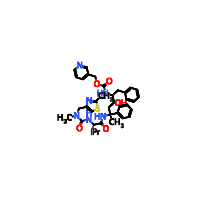 Cc1nc(CN(C)C(=O)N[C@H](C(=O)N[C@@](C)(C[C@H](O)[C@H](Cc2ccccc2)NC(=O)OCc2cccnc2)c2ccccc2)C(C)C)cs1